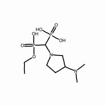 CCOP(=O)(O)C(N1CCC(N(C)C)C1)P(=O)(O)O